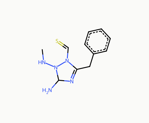 CNN1C(N)N=C(Cc2ccccc2)N1C=S